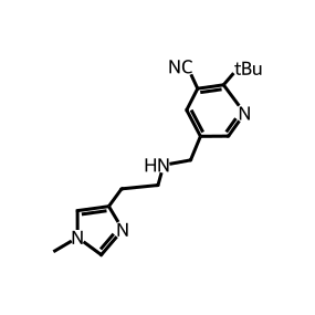 Cn1cnc(CCNCc2cnc(C(C)(C)C)c(C#N)c2)c1